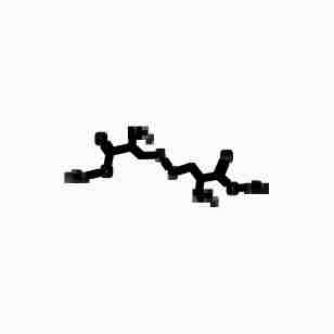 CCCCOC(=O)C(N)CSSCC(N)C(=O)OCCCC